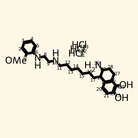 COc1ccccc1NCCNCCCCCCCC1c2ccc(O)c(O)c2CCC1N.Cl.Cl.Cl